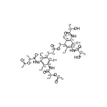 CC(=O)OC(C)C(=O)Nc1c(I)c(CCC(=O)OCc2c(I)c(NC(=O)C(C)O)c(I)c(NC(=O)C(C)O)c2I)c(I)c(NC(=O)C(C)OC(C)=O)c1I